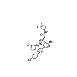 CCOc1cc(C(C)(C)C)ncc1C1=N[C@@](C)(c2ccc(Cl)cc2)[C@@](C)(c2ccc(Cl)cc2)N1C(=O)N1CCC(CC(=O)Nc2ccc(C)c(F)c2)CC1